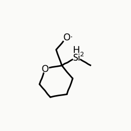 C[SiH2]C1(C[O])CCCCO1